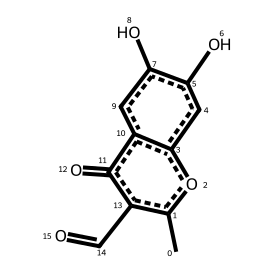 Cc1oc2cc(O)c(O)cc2c(=O)c1C=O